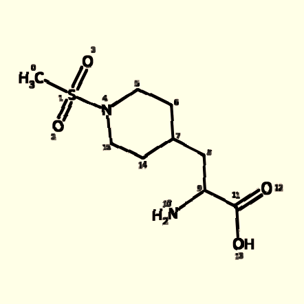 CS(=O)(=O)N1CCC(CC(N)C(=O)O)CC1